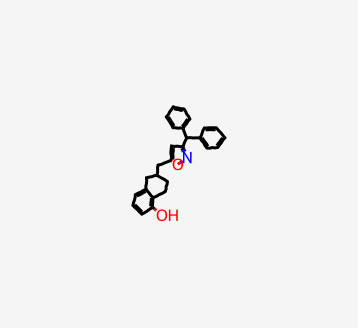 Oc1cccc2c1CCC(Cc1cc(C(c3ccccc3)c3ccccc3)no1)C2